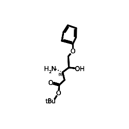 CC(C)(C)OC(=O)C[C@H](N)C(O)COc1ccccc1